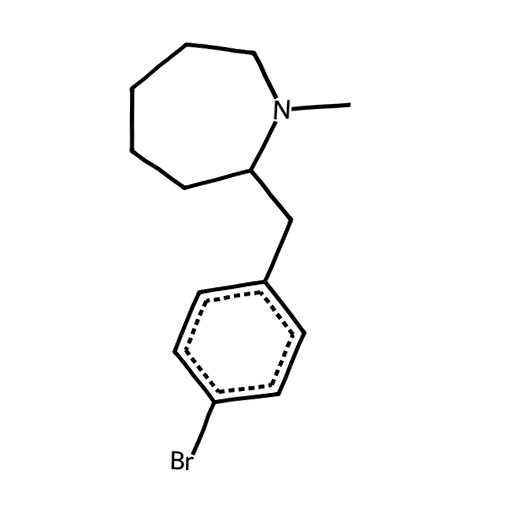 CN1CCCCCC1Cc1ccc(Br)cc1